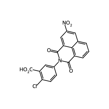 O=C(O)c1cc(N2C(=O)c3cccc4cc([N+](=O)[O-])cc(c34)C2=O)ccc1Cl